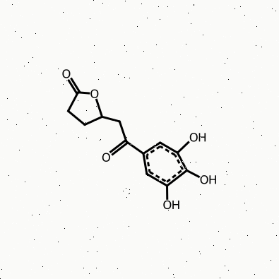 O=C1CCC(CC(=O)c2cc(O)c(O)c(O)c2)O1